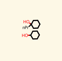 CCCC1(O)CCCCC1.OC1CCCCC1